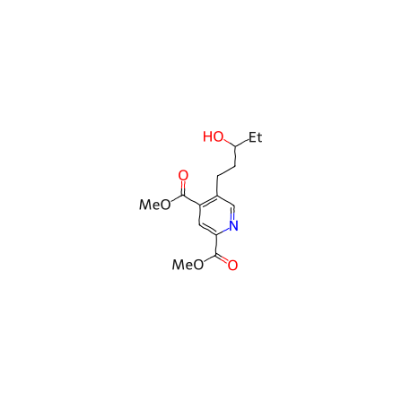 CCC(O)CCc1cnc(C(=O)OC)cc1C(=O)OC